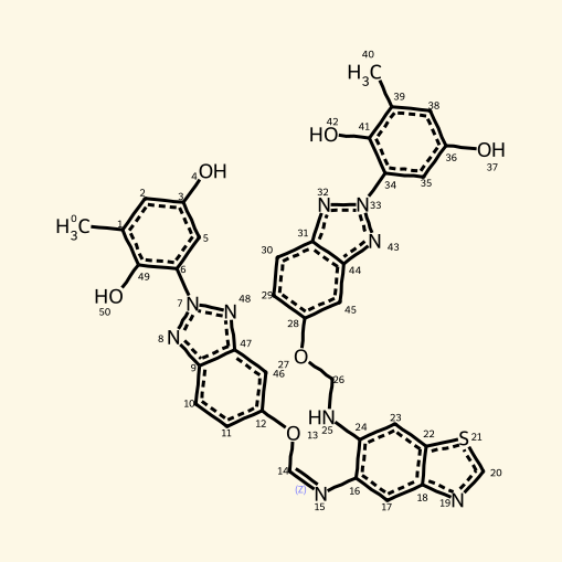 Cc1cc(O)cc(-n2nc3ccc(O/C=N\c4cc5ncsc5cc4NCOc4ccc5nn(-c6cc(O)cc(C)c6O)nc5c4)cc3n2)c1O